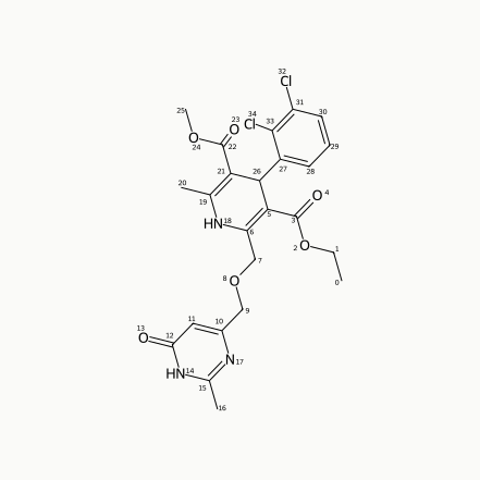 CCOC(=O)C1=C(COCc2cc(=O)[nH]c(C)n2)NC(C)=C(C(=O)OC)C1c1cccc(Cl)c1Cl